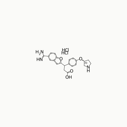 Cl.Cl.N=C(N)c1ccc2oc(C(CC(=O)O)c3ccc(O[C@H]4CCNC4)cc3)cc2c1